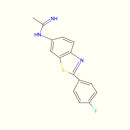 CC(=N)Nc1ccc2nc(-c3ccc(F)cc3)sc2c1